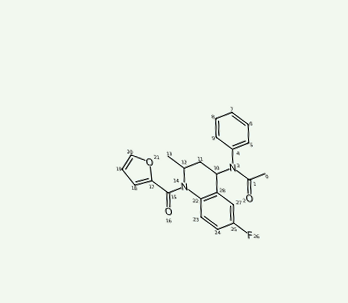 CC(=O)N(c1ccccc1)C1CC(C)N(C(=O)c2ccco2)c2ccc(F)cc21